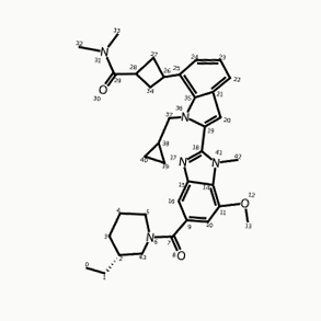 CC[C@@H]1CCCN(C(=O)c2cc(OC)c3c(c2)nc(-c2cc4cccc(C5CC(C(=O)N(C)C)C5)c4n2CC2CC2)n3C)C1